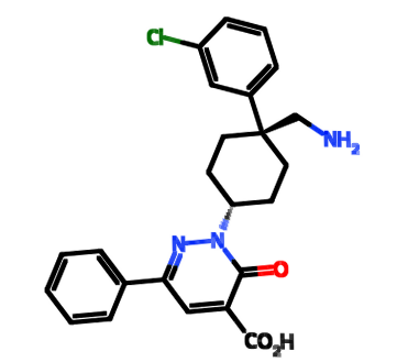 NC[C@]1(c2cccc(Cl)c2)CC[C@@H](n2nc(-c3ccccc3)cc(C(=O)O)c2=O)CC1